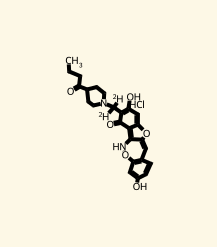 Cl.[2H]C([2H])(C1=C(O)C=c2oc3c(c2C1=O)NOc1cc(O)ccc1C=3)N1CCC(C(=O)CCC)CC1